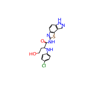 O=C(Nc1nc2ccc3[nH]ncc3c2s1)C(CCO)Nc1ccc(Cl)cc1